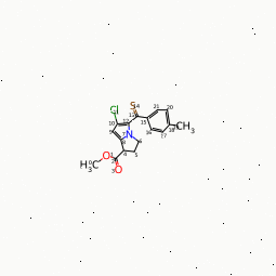 COC(=O)C1CCn2c1cc(Cl)c2C(=S)c1ccc(C)cc1